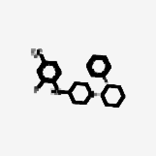 Fc1cc(C(F)(F)F)ccc1NC1CCN([C@H]2CCCC[C@H]2c2ccccc2)CC1